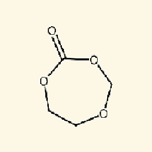 O=C1OCCOCO1